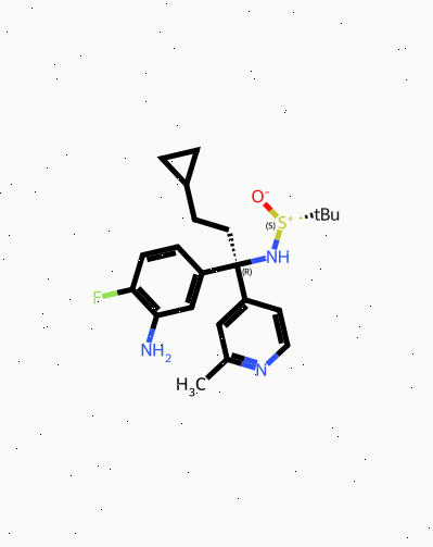 Cc1cc([C@](CCC2CC2)(N[S@+]([O-])C(C)(C)C)c2ccc(F)c(N)c2)ccn1